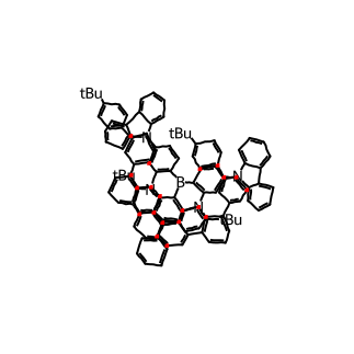 CC(C)(C)c1ccc(-c2cccc(-c3cccc(-c4cccc(-c5ccc(C(C)(C)C)cc5)c4)c3N3c4cc(-n5c6ccccc6c6ccccc65)ccc4B4c5ccc(-n6c7ccccc7c7ccccc76)cc5N(c5c(-c6cccc(-c7ccc(C(C)(C)C)cc7)c6)cccc5-c5cccc(-c6ccc(C(C)(C)C)cc6)c5)c5cc(-c6ccccc6)cc3c54)c2)cc1